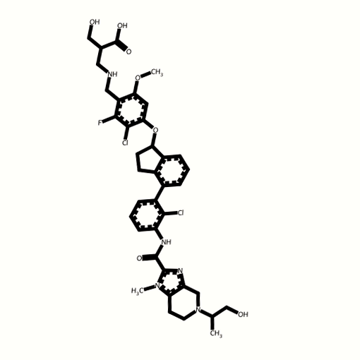 COc1cc(OC2CCc3c(-c4cccc(NC(=O)c5nc6c(n5C)CCN(C(C)CO)C6)c4Cl)cccc32)c(Cl)c(F)c1CNCC(CO)C(=O)O